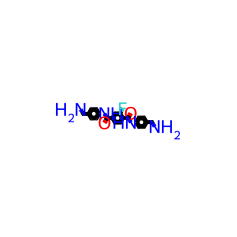 NCc1ccc(NC(=O)c2ccc(C(=O)Nc3ccc(CN)cc3)c(F)c2)cc1